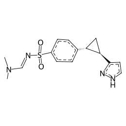 CN(C)/C=N/S(=O)(=O)c1ccc([C@@H]2C[C@H]2c2cc[nH]n2)cc1